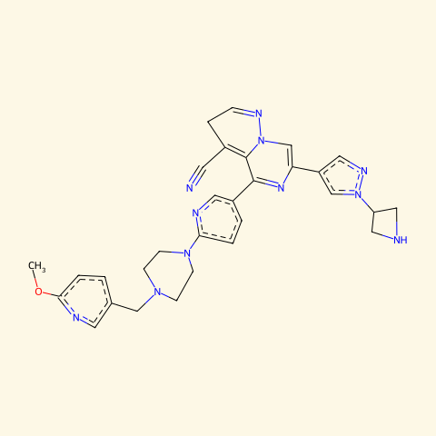 COc1ccc(CN2CCN(c3ccc(C4=NC(c5cnn(C6CNC6)c5)=CN5N=CCC(C#N)=C45)cn3)CC2)cn1